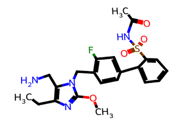 CCc1nc(OC)n(Cc2ccc(-c3ccccc3S(=O)(=O)NC(C)=O)cc2F)c1CN